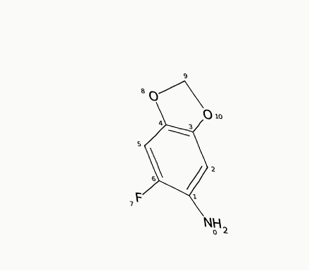 Nc1cc2c(cc1F)OCO2